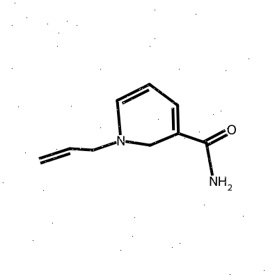 C=CCN1C=CC=C(C(N)=O)C1